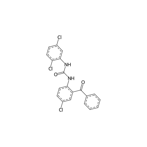 O=C(Nc1cc(Cl)ccc1Cl)Nc1ccc(Cl)cc1C(=O)c1ccccc1